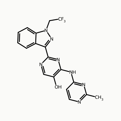 Cc1nccc(Nc2nc(-c3nn(CC(F)(F)F)c4ccccc34)ncc2O)n1